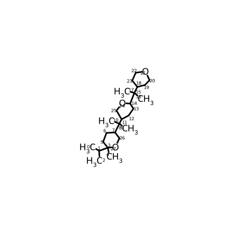 CC(C)C1(C)CCC(C(C)(C)C2CCC(C(C)(C)C3CCOCC3)OC2)CO1